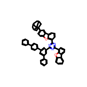 c1ccc(-c2ccc(-c3cc(-c4ccccc4)cc(-c4nc(-c5cccc6c5oc5ccccc56)nc(-c5cccc6c5oc5ccc(C78CC9CC(CC(C9)C7)C8)cc56)n4)c3)cc2)cc1